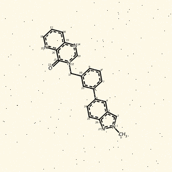 Cn1cc2cc(-c3cccc(Cn4cnc5cccnc5c4=O)c3)ccc2n1